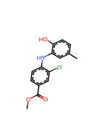 COC(=O)c1ccc(Nc2cc(C)ccc2O)c(Cl)c1